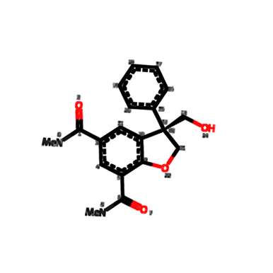 CNC(=O)c1cc(C(=O)NC)c2c(c1)[C@](CO)(c1ccccc1)CO2